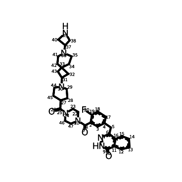 O=C(c1cc(Cc2n[nH]c(=O)c3ccccc23)ccc1F)N1CCN(C(=O)C2CCN(C3CC4(CCN(C5CNC5)CC4)C3)CC2)CC1